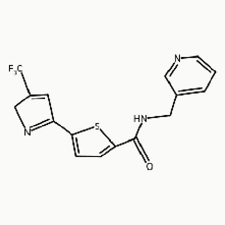 O=C(NCc1cccnc1)c1ccc(C2=NCC(C(F)(F)F)=C2)s1